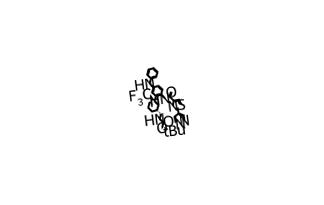 CC(C)(C)OC(=O)NC[C@@H]1CCCN(c2c(NC(=O)c3csc(-c4ccnnc4)n3)ccc(Nc3ccccc3)c2C(F)(F)F)C1